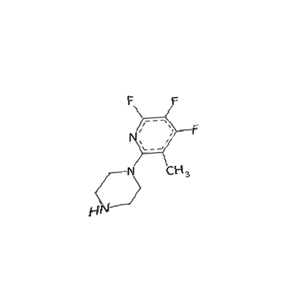 Cc1c(N2CCNCC2)nc(F)c(F)c1F